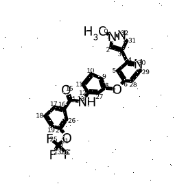 Cn1cc(-c2cc(Oc3cccc(NC(=O)c4cccc(OC(F)(F)F)c4)c3)ccn2)cn1